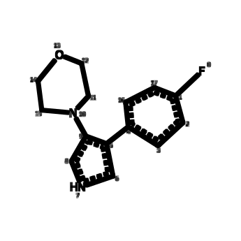 Fc1ccc(-c2c[nH]cc2N2CCOCC2)cc1